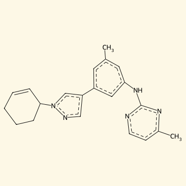 Cc1cc(Nc2nccc(C)n2)cc(-c2cnn(C3C=CCCC3)c2)c1